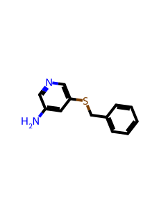 Nc1cncc(SCc2ccccc2)c1